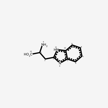 NC(Cc1nc2ccccc2[nH]1)C(=O)O